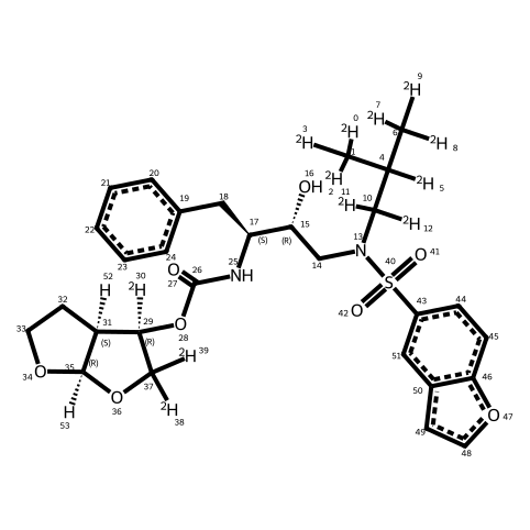 [2H]C([2H])([2H])C([2H])(C([2H])([2H])[2H])C([2H])([2H])N(C[C@@H](O)[C@H](Cc1ccccc1)NC(=O)O[C@]1([2H])[C@@H]2CCO[C@@H]2OC1([2H])[2H])S(=O)(=O)c1ccc2occc2c1